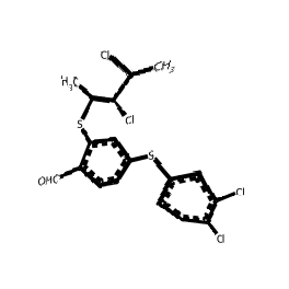 CC(Cl)[C@@H](Cl)C(C)Sc1cc(Sc2ccc(Cl)c(Cl)c2)ccc1C=O